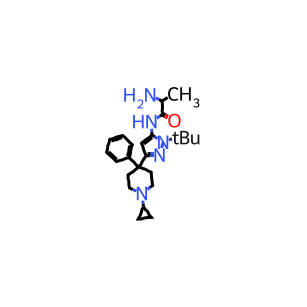 CC(N)C(=O)Nc1cc(C2(c3ccccc3)CCN(C3CC3)CC2)nn1C(C)(C)C